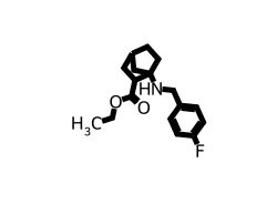 CCOC(=O)C1CC2CCC1(NCc1ccc(F)cc1)C2